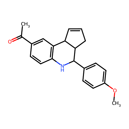 COc1ccc(C2Nc3ccc(C(C)=O)cc3C3C=CCC32)cc1